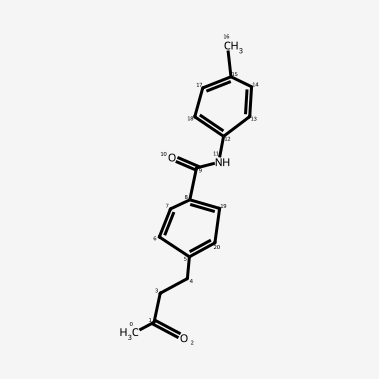 CC(=O)CCc1ccc(C(=O)Nc2ccc(C)cc2)cc1